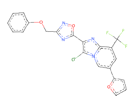 FC(F)(F)c1cc(-c2ccco2)cn2c(Cl)c(-c3nc(COc4ccccc4)no3)nc12